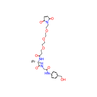 CC(C)[C@H](NC(=O)CCOCCOCCOCCN1C(=O)C=CC1=O)C(=O)NCC(=O)Nc1ccc(CO)cc1